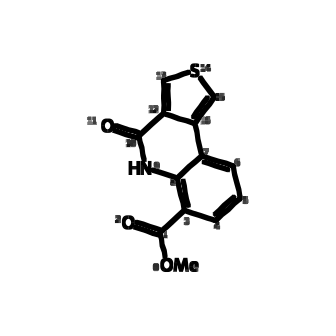 COC(=O)c1cccc2c1[nH]c(=O)c1cscc12